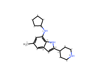 Cc1cc(NC2CCCC2)c2[nH]c(C3CCNCC3)cc2c1